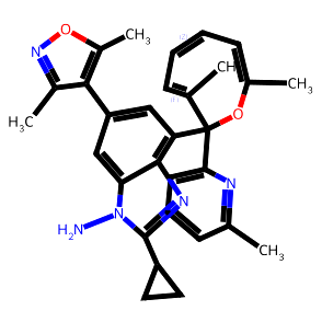 CC1=C/C=C\C=C(/C)C(c2cccc(C)n2)(c2cc(-c3c(C)noc3C)cc3c2nc(C2CC2)n3N)O1